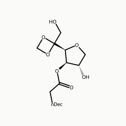 CCCCCCCCCCCC(=O)O[C@@H]1[C@@H](O)CO[C@@H]1C1(CO)OCO1